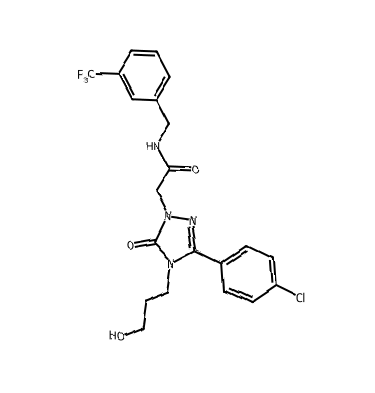 O=C(Cn1nc(-c2ccc(Cl)cc2)n(CCCO)c1=O)NCc1cccc(C(F)(F)F)c1